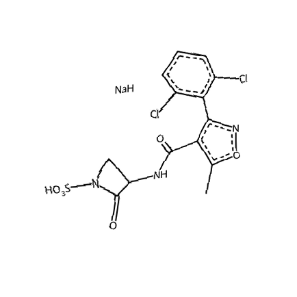 Cc1onc(-c2c(Cl)cccc2Cl)c1C(=O)NC1CN(S(=O)(=O)O)C1=O.[NaH]